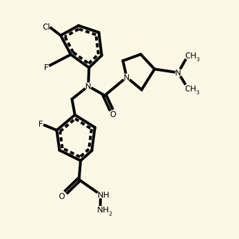 CN(C)C1CCN(C(=O)N(Cc2ccc(C(=O)NN)cc2F)c2cccc(Cl)c2F)C1